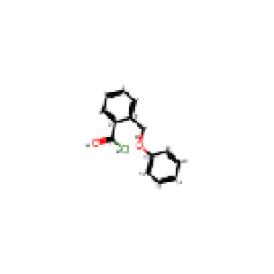 O=C(Cl)c1ccccc1COc1ccccc1